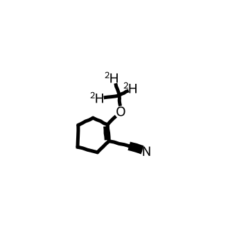 [2H]C([2H])([2H])OC1=C(C#N)CCCC1